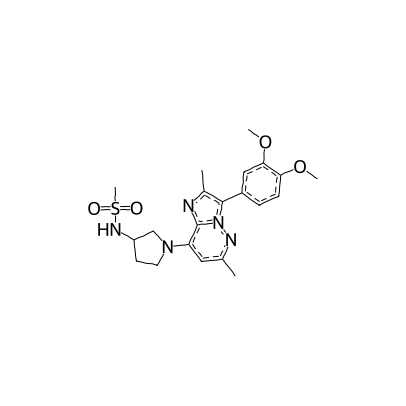 COc1ccc(-c2c(C)nc3c(N4CCC(NS(C)(=O)=O)C4)cc(C)nn23)cc1OC